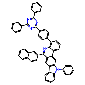 c1ccc(-c2nc(-c3ccccc3)nc(-c3ccc(-c4cccc5c4nc(-c4ccc6ccccc6c4)c4cc6c7ccccc7n(-c7ccccc7)c6cc45)cc3)n2)cc1